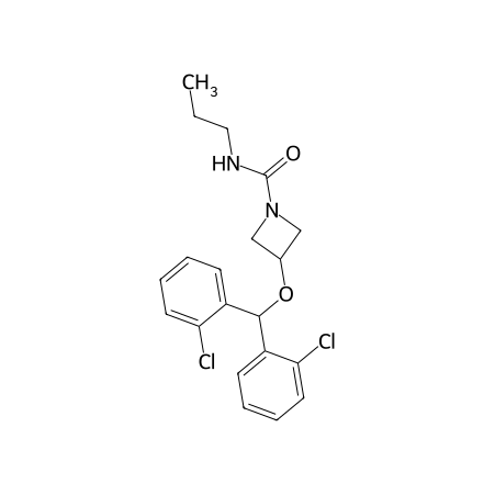 CCCNC(=O)N1CC(OC(c2ccccc2Cl)c2ccccc2Cl)C1